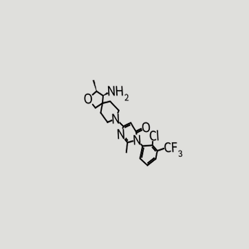 Cc1nc(N2CCC3(CC2)CO[C@@H](C)[C@H]3N)cc(=O)n1-c1cccc(C(F)(F)F)c1Cl